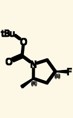 C[C@@H]1C[C@H](F)CN1C(=O)OC(C)(C)C